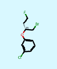 FCC[C@H](CBr)Oc1cccc(Cl)c1